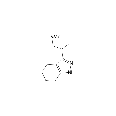 CSCC(C)c1n[nH]c2c1CCCC2